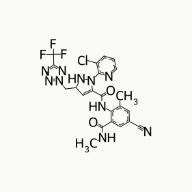 CNC(=O)c1cc(C#N)cc(C)c1NC(=O)C1=CC(Cn2nnc(C(F)(F)F)n2)NN1c1ncccc1Cl